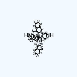 O=CN[C@@H](Cc1cccc2ccccc12)NC(=O)[C@@H](Cc1csc2ccccc12)NC(=O)C1CCNCC1